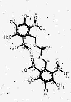 Cc1c(Cl)c(C)c([N+](=O)[O-])c(COC(=O)OCc2c([N+](=O)[O-])c(C)c(Cl)c(C)c2[N+](=O)[O-])c1[N+](=O)[O-]